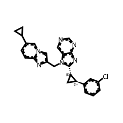 Clc1cccc([C@H]2C[C@@H]2c2nc3ncncc3n2Cc2cn3cc(C4CC4)ccc3n2)c1